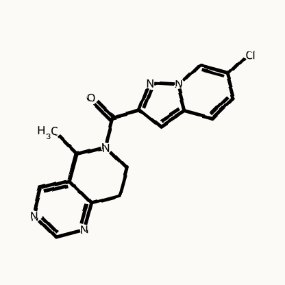 CC1c2cncnc2CCN1C(=O)c1cc2ccc(Cl)cn2n1